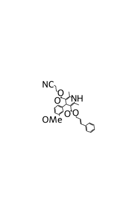 COc1cccc(C2C(C(=O)OC/C=C/c3ccccc3)=C(C)NC(C)=C2C(=O)OCCC#N)c1